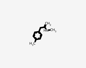 C=C(Cc1ccc(C)cc1)NC